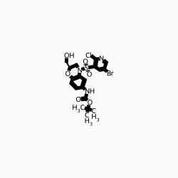 CC(C)(C)OC(=O)Nc1ccc2c(c1)N(S(=O)(=O)c1cc(Br)cnc1Cl)C[C@H](CO)O2